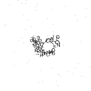 CCn1c(-c2cnccc2COC)c2c3cc(ccc31)-c1cc(O)cc(c1)C[C@H](NC(=O)[C@H](C(C)C)N(C)C(=O)CN(C)C(=O)[C@H]1[C@@H](C(=O)OC)N1[S+]([O-])C(C)(C)C)C(=O)N1CCC[C@H](N1)C(=O)OCC(C)(C)C2